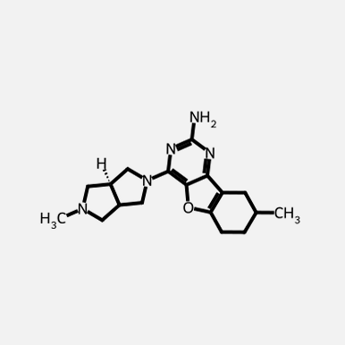 CC1CCc2oc3c(N4CC5CN(C)C[C@H]5C4)nc(N)nc3c2C1